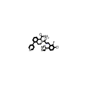 NC(=O)C1c2cccc(-c3ccncc3)c2CCN1C(=O)/C=C/c1c(-n2cnnn2)ccc(Cl)c1F